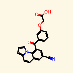 N#Cc1cc(C(=O)c2cccc(OCC(=O)O)c2)c2c(ccc3cccn32)c1